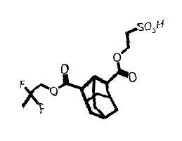 CC(F)(F)COC(=O)C1C2CC3CC(C2)C(C(=O)OCCS(=O)(=O)O)C1C3